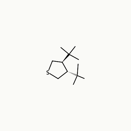 CC(C)(C)[C@@H]1CSC[C@H]1C(C)(C)C